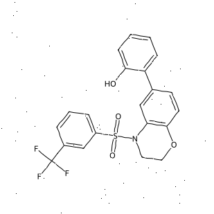 O=S(=O)(c1cccc(C(F)(F)F)c1)N1CCOc2ccc(-c3ccccc3O)cc21